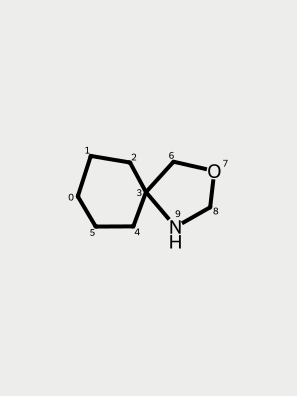 C1CCC2(CC1)COCN2